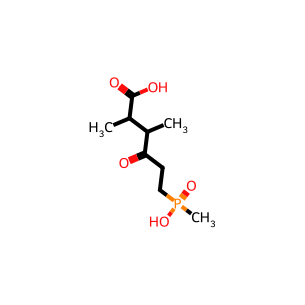 CC(C(=O)O)C(C)C(=O)CCP(C)(=O)O